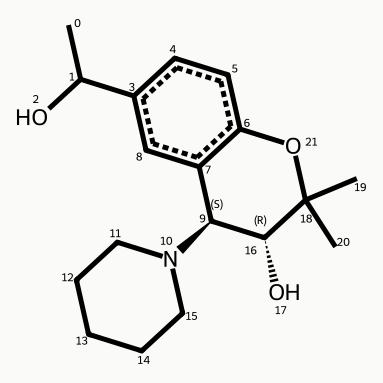 CC(O)c1ccc2c(c1)[C@H](N1CCCCC1)[C@@H](O)C(C)(C)O2